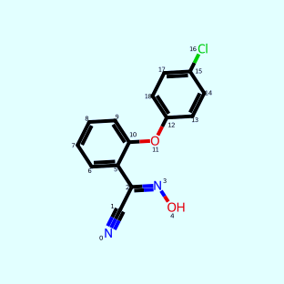 N#CC(=NO)c1ccccc1Oc1ccc(Cl)cc1